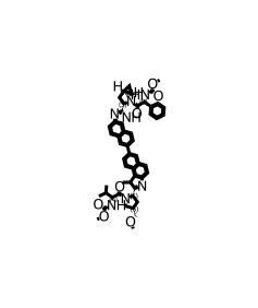 COC[C@H]1C[C@@H](C2=Nc3ccc4cc(-c5ccc6c(ccc7nc([C@@H]8C[C@H]9C[C@H]9N8C(=O)[C@H](NC(=O)OC)c8ccccc8)[nH]c76)c5)ccc4c3C2C)N(C(=O)[C@@H](NC(=O)OC)C(C)C)C1